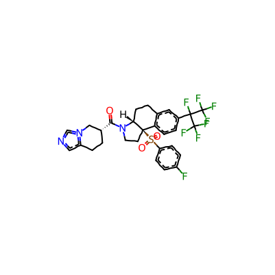 O=C([C@@H]1CCc2cncn2C1)N1CC[C@@]2(S(=O)(=O)c3ccc(F)cc3)c3ccc(C(F)(C(F)(F)F)C(F)(F)F)cc3CC[C@@H]12